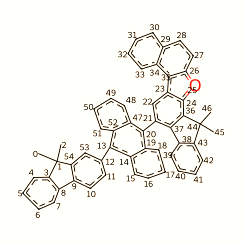 CC1(C)c2ccccc2-c2ccc(-c3c4ccccc4c(-c4cc5c(oc6ccc7ccccc7c65)c5c4-c4ccccc4C5(C)C)c4ccccc34)cc21